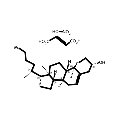 CC(C)CCC[C@@H](C)[C@H]1CC[C@H]2[C@@H]3CC=C4C[C@@H](O)CC[C@]4(C)[C@H]3CC[C@]12C.O=C(O)C=CC(=O)O.O=[N+]([O-])O